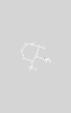 CC1C=CCCC(N)C1N